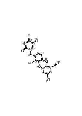 N#Cc1cc(Cl)cc(Oc2c(Cl)ccc(Cn3cc(Cl)c(=O)[nH]c3=O)c2F)c1